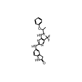 CC(CNc1nc(Nc2ccc3c(c2)CC(=O)N3)ncc1C(F)(F)F)Oc1ccccc1